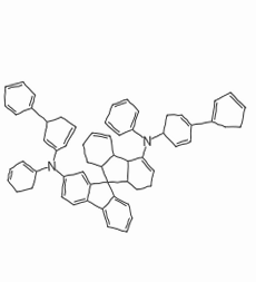 C1=CCCC(C2=CCC(N(C3=CCCC4C3C3C=CCCC3C43c4ccccc4-c4ccc(N(C5=CC(c6ccccc6)CC=C5)C5=CC=CCC5)cc43)c3ccccc3)C=C2)=C1